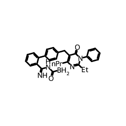 BC(=O)NC(=N)c1ccccc1-c1ccc(Cc2c(CCC)nc(CC)n(-c3ccccc3)c2=O)cc1